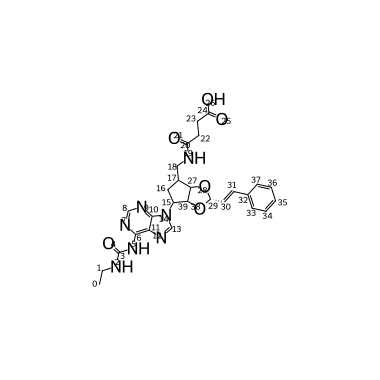 CCNC(=O)Nc1ncnc2c1ncn2C1CC(CNC(=O)CCC(=O)O)C2O[C@H](/C=C/c3ccccc3)OC21